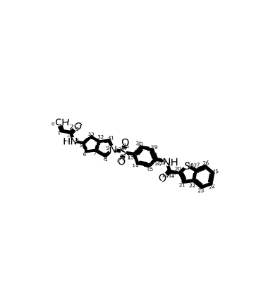 C=CC(=O)NC1CC2CN(S(=O)(=O)c3ccc(NC(=O)c4cc5ccccc5s4)cc3)CC2C1